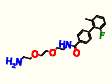 Cc1cccc(F)c1-c1ccc(C(=O)NCCOCCOCCN)cc1